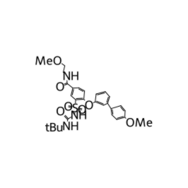 COCCNC(=O)c1ccc(Oc2cccc(-c3ccc(OC)cc3)c2)c(S(=O)(=O)NC(=O)NC(C)(C)C)c1